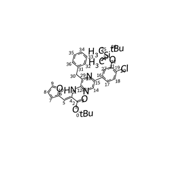 CC(C)(C)OC(=O)/C(=C/c1ccco1)Nc1ncc(-c2ccc(Cl)c(O[Si](C)(C)C(C)(C)C)c2)nc1Cc1ccccc1